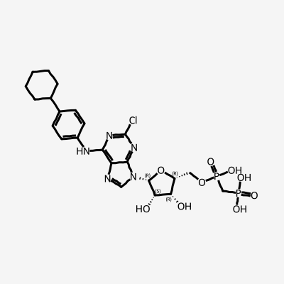 O=P(O)(O)CP(=O)(O)OC[C@H]1O[C@@H](n2cnc3c(Nc4ccc(C5CCCCC5)cc4)nc(Cl)nc32)[C@@H](O)[C@H]1O